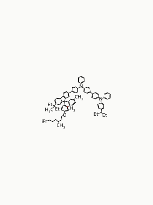 CCC(CC)c1ccc(N(c2ccccc2)c2ccc(-c3ccc(N(c4ccccc4)c4ccc(-c5ccc6c(c5)C(c5ccc(OCCC(C)CCCC(C)C)cc5)(c5cc(C)ccc5C)c5cc(C(C)(CC)CC)ccc5-6)cc4)cc3)cc2)cc1